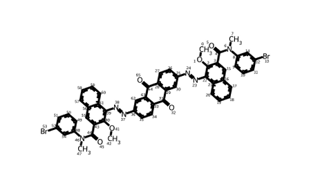 COc1c(C(=O)N(C)c2cccc(Br)c2)cc2ccccc2c1N=Nc1ccc2c(c1)C(=O)c1ccc(N=Nc3c(OC)c(C(=O)N(C)c4cccc(Br)c4)cc4ccccc34)cc1C2=O